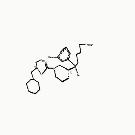 CNC[C@H](CC1CCCCC1)NC(=O)N1CCC[C@@H]([C@@](O)(CCCCOC)c2cccc(C(C)C)c2)C1